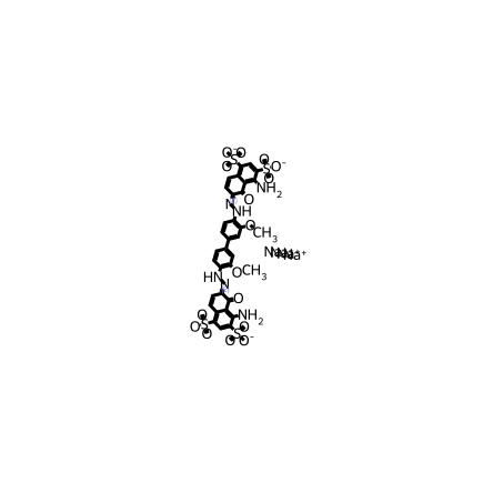 COc1cc(-c2ccc(N/N=C3\C=Cc4c(S(=O)(=O)[O-])cc(S(=O)(=O)[O-])c(N)c4C3=O)c(OC)c2)ccc1N/N=C1/C=Cc2c(S(=O)(=O)[O-])cc(S(=O)(=O)[O-])c(N)c2C1=O.[Na+].[Na+].[Na+].[Na+]